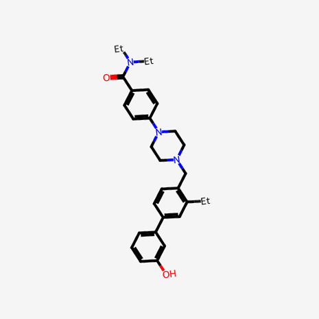 CCc1cc(-c2cccc(O)c2)ccc1CN1CCN(c2ccc(C(=O)N(CC)CC)cc2)CC1